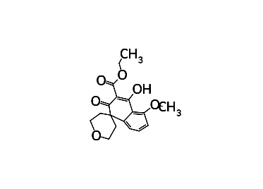 CCOC(=O)C1=C(O)c2c(OC)cccc2C2(CCOCC2)C1=O